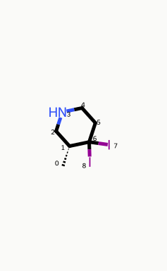 C[C@@H]1CNCCC1(I)I